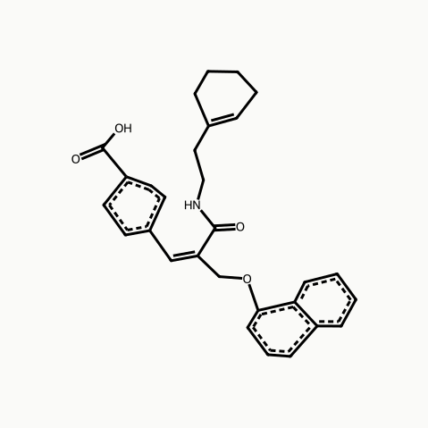 O=C(NCCC1=CCCCC1)C(=Cc1ccc(C(=O)O)cc1)COc1cccc2ccccc12